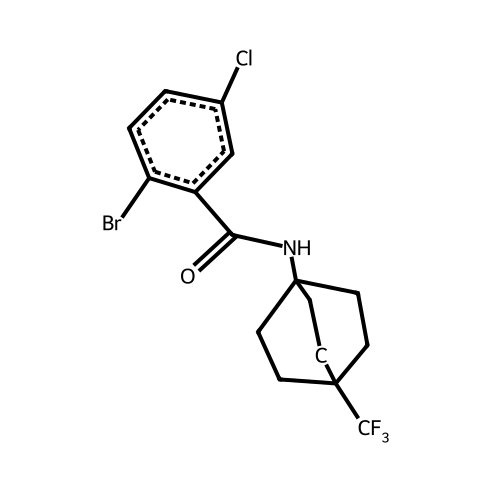 O=C(NC12CCC(C(F)(F)F)(CC1)CC2)c1cc(Cl)ccc1Br